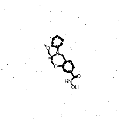 COC[C@@H]1COc2cc(C(=O)NO)ccc2CN1c1ccccc1